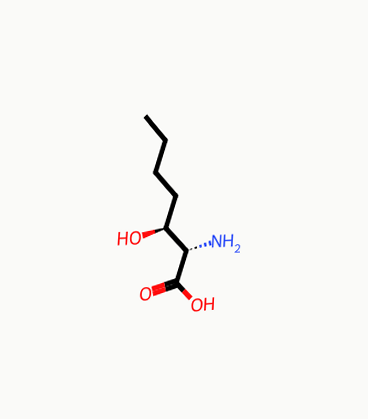 CCCC[C@H](O)[C@H](N)C(=O)O